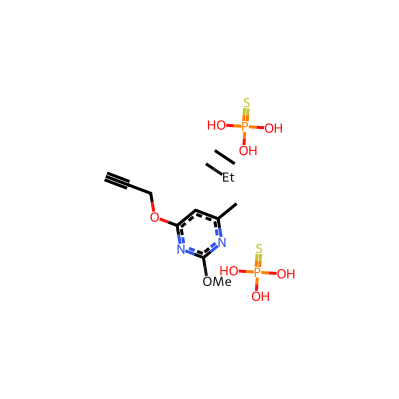 C#CCOc1cc(C)nc(OC)n1.CC.CCC.OP(O)(O)=S.OP(O)(O)=S